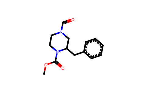 COC(=O)N1CCN(C=O)CC1Cc1ccccc1